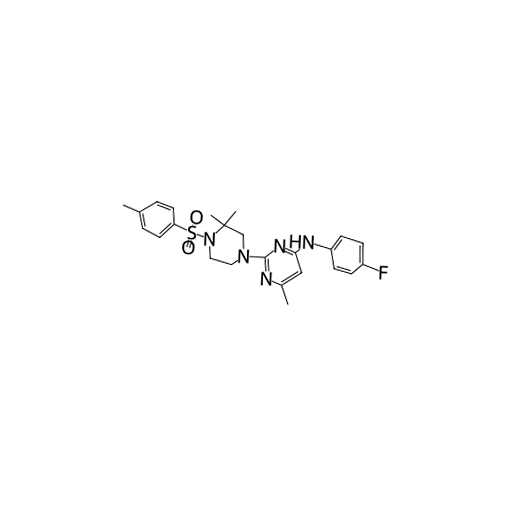 Cc1ccc(S(=O)(=O)N2CCN(c3nc(C)cc(Nc4ccc(F)cc4)n3)CC2(C)C)cc1